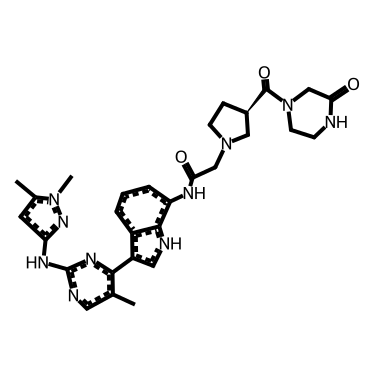 Cc1cnc(Nc2cc(C)n(C)n2)nc1-c1c[nH]c2c(NC(=O)CN3CC[C@@H](C(=O)N4CCNC(=O)C4)C3)cccc12